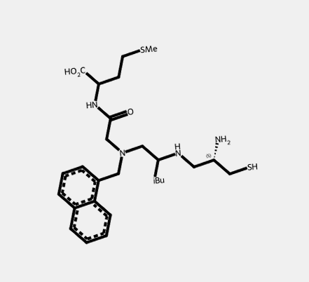 CCC(C)C(CN(CC(=O)NC(CCSC)C(=O)O)Cc1cccc2ccccc12)NC[C@H](N)CS